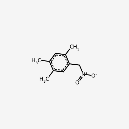 Cc1cc(C)c(C[N+](=O)[O-])cc1C